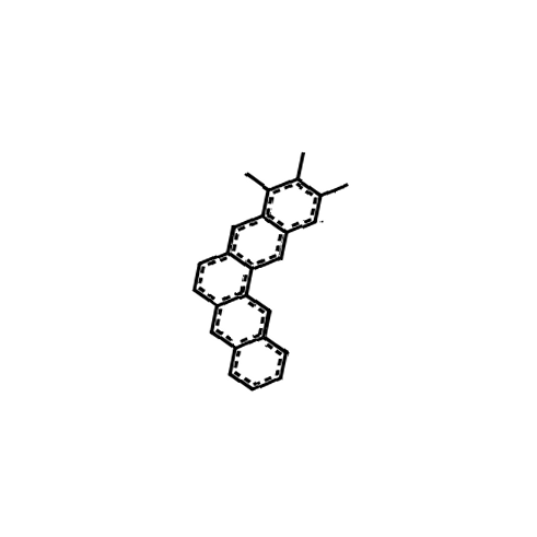 Cc1[c]c2cc3c(ccc4cc5ccccc5cc43)cc2c(C)c1C